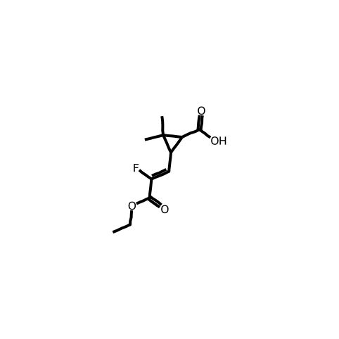 CCOC(=O)C(F)=CC1C(C(=O)O)C1(C)C